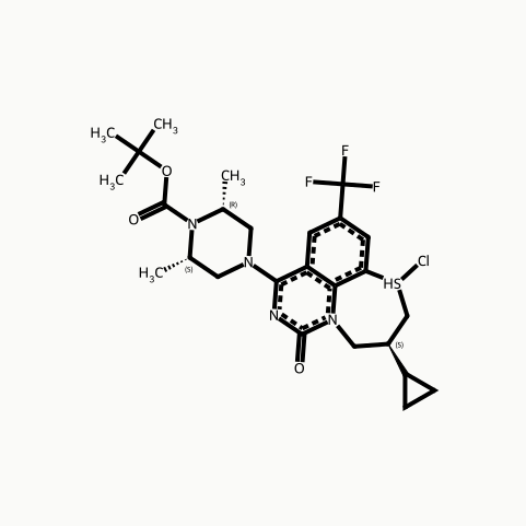 C[C@@H]1CN(c2nc(=O)n3c4c(cc(C(F)(F)F)cc24)[SH](Cl)C[C@@H](C2CC2)C3)C[C@H](C)N1C(=O)OC(C)(C)C